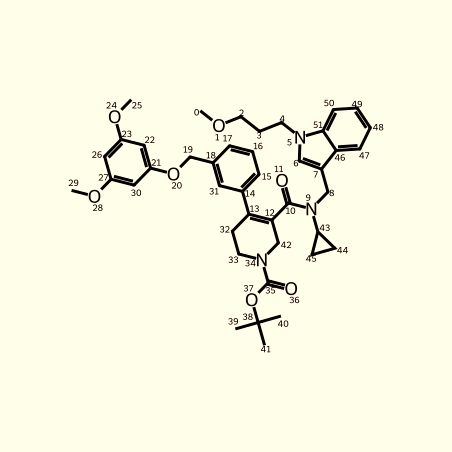 COCCCn1cc(CN(C(=O)C2=C(c3cccc(COc4cc(OC)cc(OC)c4)c3)CCN(C(=O)OC(C)(C)C)C2)C2CC2)c2ccccc21